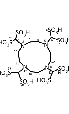 O=S(=O)(O)C(N1CCN(C(S(=O)(=O)O)S(=O)(=O)O)CCN(C(S(=O)(=O)O)S(=O)(=O)O)CCN(C(S(=O)(=O)O)S(=O)(=O)O)CC1)S(=O)(=O)O